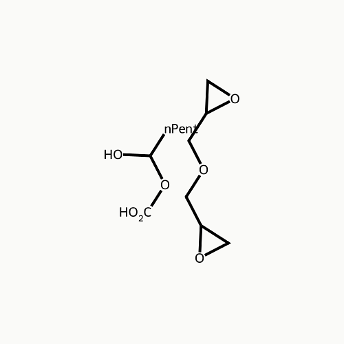 C(OCC1CO1)C1CO1.CCCCCC(O)OC(=O)O